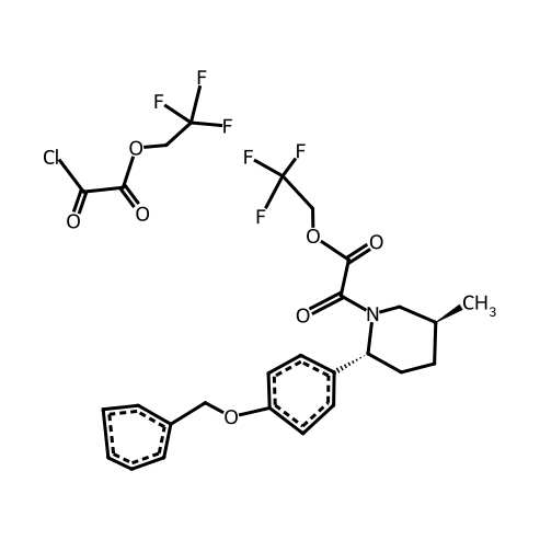 C[C@H]1CC[C@H](c2ccc(OCc3ccccc3)cc2)N(C(=O)C(=O)OCC(F)(F)F)C1.O=C(Cl)C(=O)OCC(F)(F)F